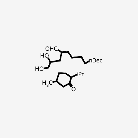 CC1CCC(C(C)C)C(=O)C1.CCCCCCCCCCCCCCC(C=O)CC(O)CO